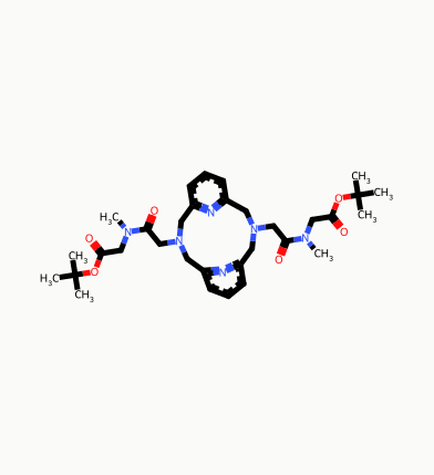 CN(CC(=O)OC(C)(C)C)C(=O)CN1Cc2cccc(n2)CN(CC(=O)N(C)CC(=O)OC(C)(C)C)Cc2cccc(n2)C1